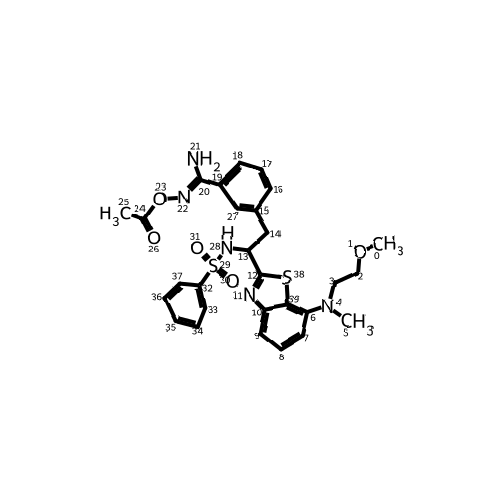 COCCN(C)c1cccc2nc(C(Cc3cccc(C(N)=NOC(C)=O)c3)NS(=O)(=O)c3ccccc3)sc12